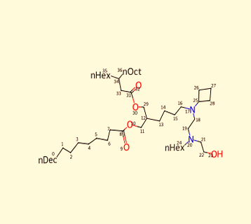 CCCCCCCCCCCCCCCCCC(=O)OCC(CCCCN(CCN(CCO)CCCCCC)C1CCC1)COC(=O)CC(CCCCCC)CCCCCCCC